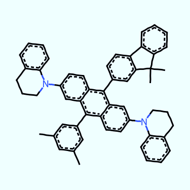 Cc1cc(C)cc(-c2c3ccc(N4CCCc5ccccc54)cc3c(-c3ccc4c(c3)C(C)(C)c3ccccc3-4)c3ccc(N4CCCc5ccccc54)cc23)c1